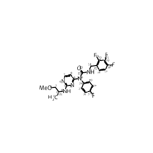 COC[C@H](C)Nc1nccc(N(C(=O)NCc2ccc(F)c(F)c2F)c2ccc(F)cc2)n1